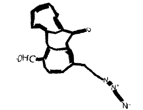 [N-]=[N+]=NCCc1ccc([C]=O)c2c1C(=O)c1ccccc1-2